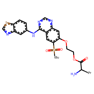 CC(C)C(N)C(=O)OCCOc1cc2ncnc(Nc3ccc4scnc4c3)c2cc1S(=O)(=O)C(C)(C)C